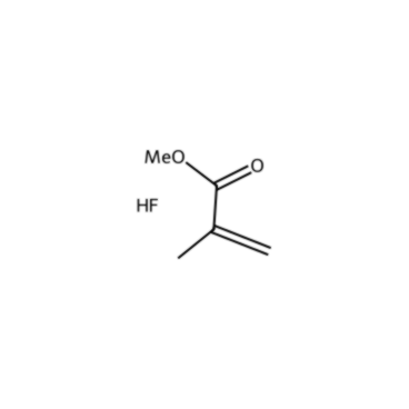 C=C(C)C(=O)OC.F